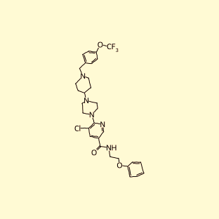 O=C(NCCOc1ccccc1)c1cnc(N2CCN(C3CCN(Cc4ccc(OC(F)(F)F)cc4)CC3)CC2)c(Cl)c1